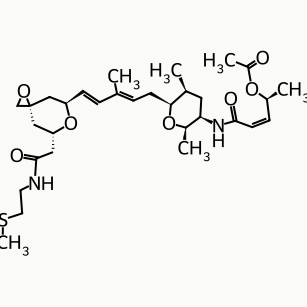 CSCCNC(=O)C[C@@H]1C[C@@]2(CO2)C[C@@H](/C=C/C(C)=C/C[C@@H]2O[C@H](C)[C@H](NC(=O)/C=C\[C@H](C)OC(C)=O)C[C@@H]2C)O1